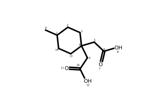 CC1CCC(CC(=O)O)(CC(=O)O)CC1